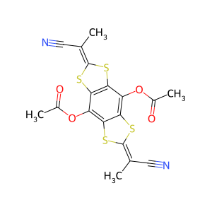 CC(=O)Oc1c2c(c(OC(C)=O)c3c1SC(=C(C)C#N)S3)SC(=C(C)C#N)S2